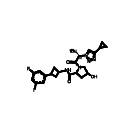 CC(C)(C)[C@@H](C(=O)N1CC(O)CC1C(=O)NC1CC(c2cc(F)cc(F)c2)C1)n1cc(C2CC2)nn1